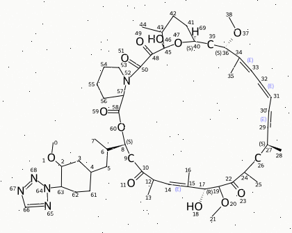 COC1CC(CC(C)[C@@H]2CC(=O)C(C)/C=C(\C)[C@@H](O)C(OC)C(=O)C(C)C[C@H](C)/C=C/C=C/C=C(\C)[C@@H](OC)C[C@@H]3CCC(C)C(O)(O3)C(=O)C(=O)N3CCCCC3C(=O)O2)CCC1n1ncnn1